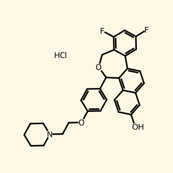 Cl.Oc1ccc2c3c(ccc2c1)-c1cc(F)cc(F)c1COC3c1ccc(OCCN2CCCCC2)cc1